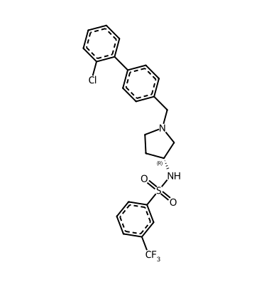 O=S(=O)(N[C@@H]1CCN(Cc2ccc(-c3ccccc3Cl)cc2)C1)c1cccc(C(F)(F)F)c1